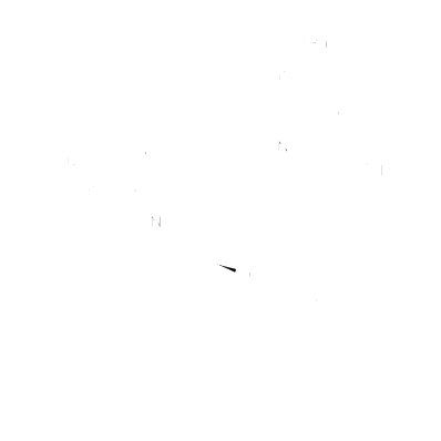 Cc1cc(C)c2c(ccn2C(=O)OC(C)(C)C)c1O[C@@H]1CN(C(=O)OC(C)(C)C)C[C@H]1c1ccccc1